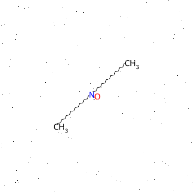 CCCCCCCCCCCCCCCCN([C]=O)CCCCCCCCCCCCCCCC